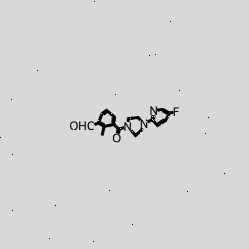 Cc1c(C=O)cccc1C(=O)N1CCN(c2ccc(F)cn2)CC1